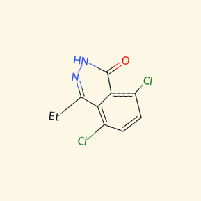 CCc1n[nH]c(=O)c2c(Cl)ccc(Cl)c12